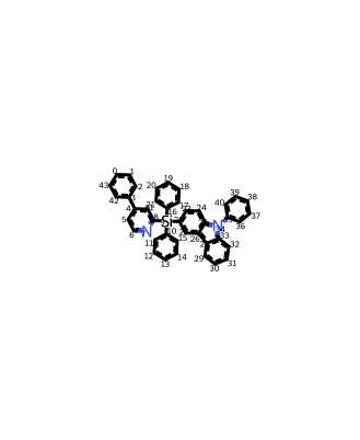 c1ccc(-c2ccnc([Si](c3ccccc3)(c3ccccc3)c3ccc4c(c3)c3ccccc3n4-c3ccccc3)c2)cc1